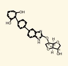 Oc1cccc(O)c1-c1ccc(-c2ccc3[nH]c(O[C@@H]4CO[C@H]5[C@@H]4OC[C@H]5O)nc3c2)cc1